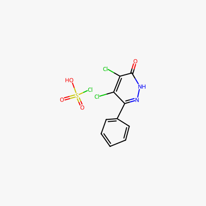 O=S(=O)(O)Cl.O=c1[nH]nc(-c2ccccc2)c(Cl)c1Cl